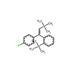 C[Si](C)(C)C=C(c1ccc(F)cc1)c1ccccc1[Si](C)(C)C